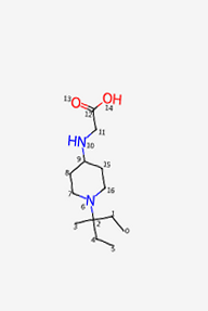 CCC(C)(CC)N1CCC(NCC(=O)O)CC1